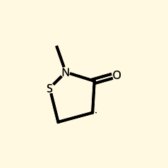 CN1SC[CH]C1=O